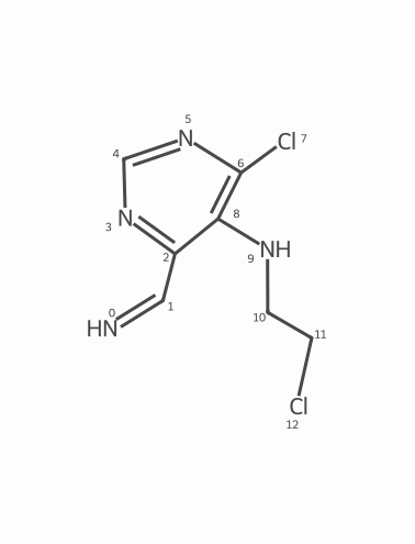 N=Cc1ncnc(Cl)c1NCCCl